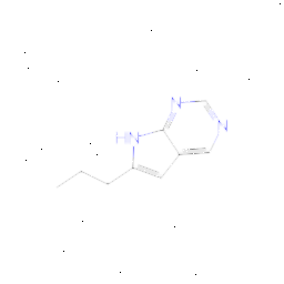 CCCc1cc2cncnc2[nH]1